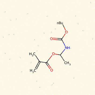 C=C(C)C(=O)OC(C)NC(=O)OCCCC